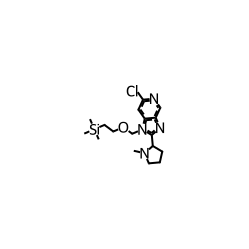 CN1CCCC1c1nc2cnc(Cl)cc2n1COCC[Si](C)(C)C